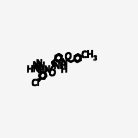 Cc1ccc(CC(=O)Nc2cccc3cc(C(=O)Nc4ccc(Cl)cc4-c4nnn[nH]4)[nH]c23)cc1